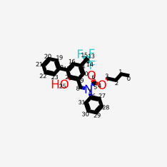 CCCCOC(=O)N(Cc1cc(C(F)(F)F)cc(-c2ccccc2)c1O)c1ccccc1